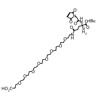 CC(C)(C)OC(=O)C([SiH3])(CCC(=O)NCCOCCOCCOCCOCCOCCOCCOCCOCCC(=O)O)NC(=O)CN1C(=O)C=CC1=O